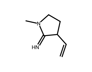 C=CC1CCN(C)C1=N